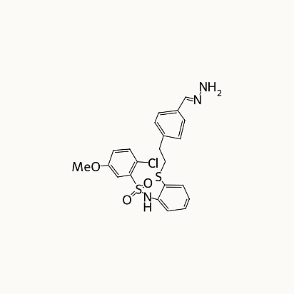 COc1ccc(Cl)c(S(=O)(=O)Nc2ccccc2SCCc2ccc(C=NN)cc2)c1